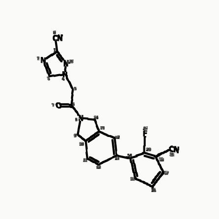 N#Cc1ncn(CC(=O)N2Cc3ccc(-c4cccc(C#N)c4F)cc3C2)n1